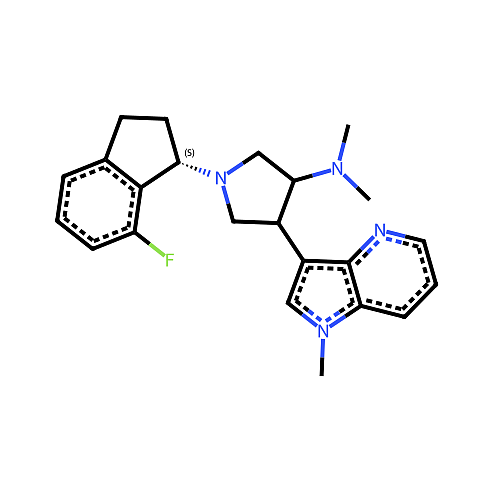 CN(C)C1CN([C@H]2CCc3cccc(F)c32)CC1c1cn(C)c2cccnc12